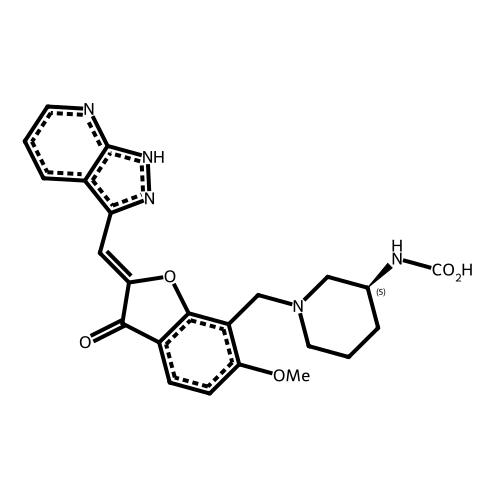 COc1ccc2c(c1CN1CCC[C@H](NC(=O)O)C1)OC(=Cc1n[nH]c3ncccc13)C2=O